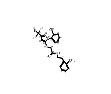 Cc1ccccc1CCNC(=O)COc1cc(C(F)(F)F)nn1C1=CC=CCC1Cl